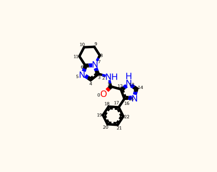 O=C(Nc1cnc2n1CCCC2)c1[nH]cnc1-c1ccccc1